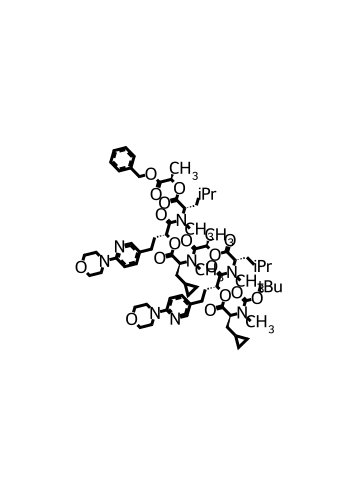 CC(C)C[C@@H](C(=O)O[C@H](C)C(=O)N(C)[C@@H](CC1CC1)C(=O)O[C@H](CCc1ccc(N2CCOCC2)nc1)C(=O)N(C)[C@@H](CC(C)C)C(=O)O[C@H](C)C(=O)OCc1ccccc1)N(C)C(=O)[C@@H](CCc1ccc(N2CCOCC2)nc1)OC(=O)[C@H](CC1CC1)N(C)C(=O)OC(C)(C)C